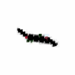 CCCCCCCOc1ccc(-c2ccc(-c3ccc(C4CCC(CCCCC)CO4)cc3F)cc2)c(F)c1F